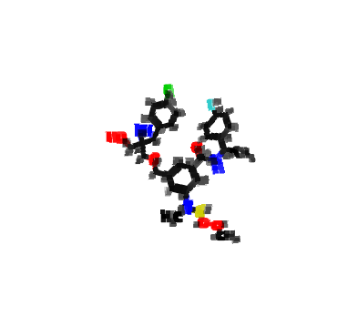 COOSN(C)c1cc(COCC(N)(CO)Cc2ccc(Cl)cc2)cc(C(=O)N[C@H](C)c2ccc(F)cc2)c1